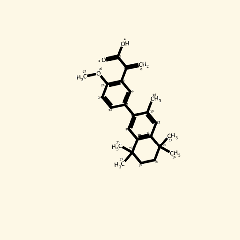 C=C(C(=O)O)c1cc(-c2cc3c(cc2C)C(C)(C)CCC3(C)C)ccc1OC